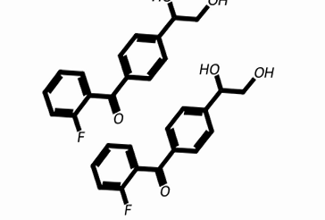 O=C(c1ccc(C(O)CO)cc1)c1ccccc1F.O=C(c1ccc(C(O)CO)cc1)c1ccccc1F